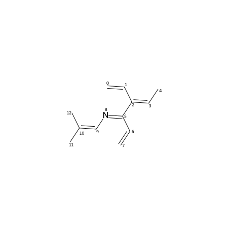 C=CC(=C\C)/C(C=C)=N/C=C(C)C